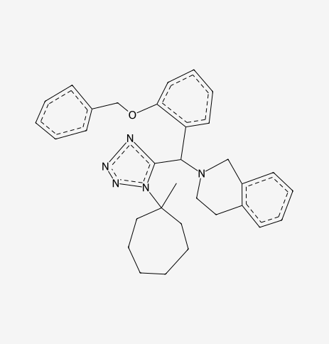 CC1(n2nnnc2C(c2ccccc2OCc2ccccc2)N2CCc3ccccc3C2)CCCCCC1